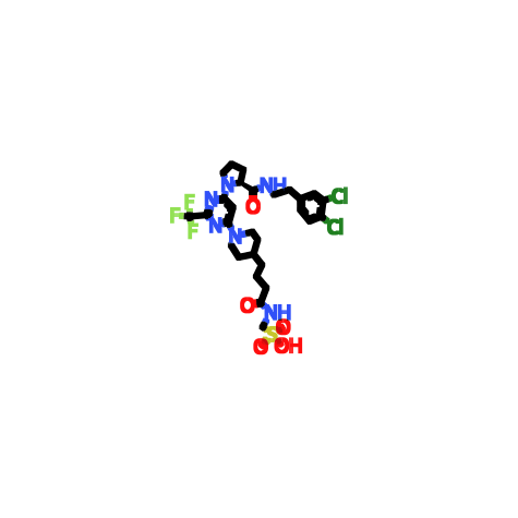 O=C(CCCC1CCN(c2cc(N3CCC[C@H]3C(=O)NCCc3ccc(Cl)c(Cl)c3)nc(C(F)(F)F)n2)CC1)NCS(=O)(=O)O